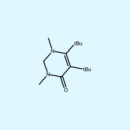 CN1CN(C)C(C(C)(C)C)=C(C(C)(C)C)C1=O